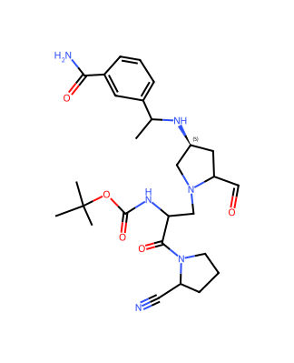 CC(N[C@H]1CC(C=O)N(CC(NC(=O)OC(C)(C)C)C(=O)N2CCCC2C#N)C1)c1cccc(C(N)=O)c1